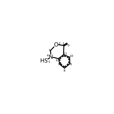 C=C1OCN(S)c2ccccc21